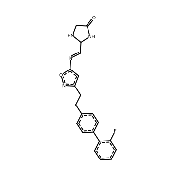 O=C1CNC(C=Nc2cc(CCc3ccc(-c4ccccc4F)cc3)no2)N1